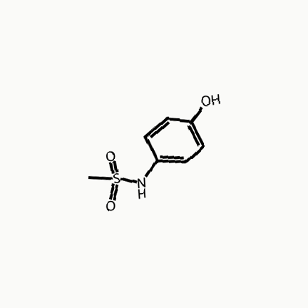 CS(=O)(=O)Nc1ccc(O)cc1